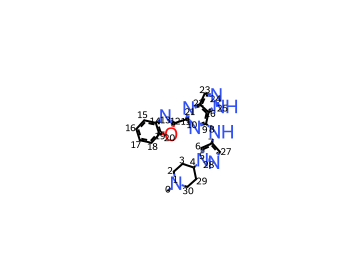 CN1CCC(n2cc(Nc3nc(-c4nc5ccccc5o4)nc4cn[nH]c34)cn2)CC1